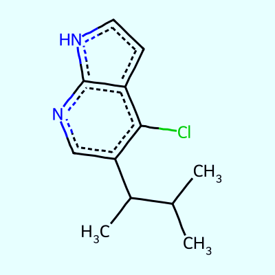 CC(C)C(C)c1cnc2[nH]ccc2c1Cl